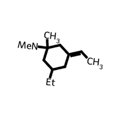 CC=C1CC(CC)CC(C)(NC)C1